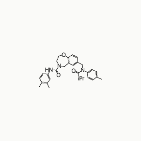 Cc1ccc(N(Cc2ccc3c(c2)CN(C(=O)Nc2ccc(C)c(C)c2)CCO3)C(=O)C(C)C)cc1